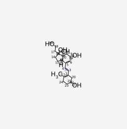 CC1=C(/C=C/C2=C[C@@H](O)C[C@@]3(C)[C@H]2CC[C@]3(O)CCO)C[C@@H](O)CC1